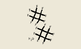 FC1(F)C(F)(F)C(F)(F)C1(F)F.FC1(F)C(F)(F)C(F)(F)C1(F)F.O